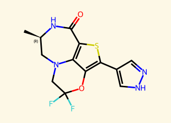 C[C@@H]1CN2CC(F)(F)Oc3c(-c4cn[nH]c4)sc(c32)C(=O)N1